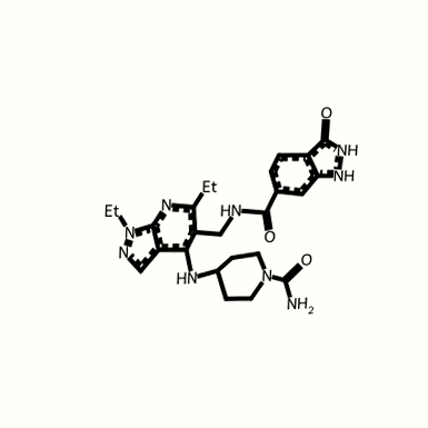 CCc1nc2c(cnn2CC)c(NC2CCN(C(N)=O)CC2)c1CNC(=O)c1ccc2c(=O)[nH][nH]c2c1